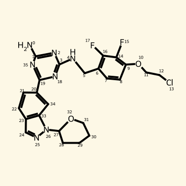 Nc1nc(NCc2ccc(OCCCl)c(F)c2F)nc(-c2ccc3cnn(C4CCCCO4)c3c2)n1